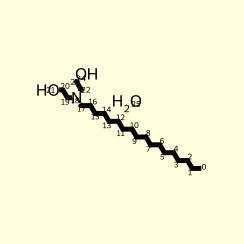 CCCCCCCCCCCCCCCCCCN(CCO)CCO.O